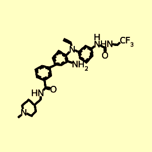 C=CN(c1cccc(NC(=O)NCC(F)(F)F)c1)c1ccc(-c2cccc(C(=O)NCC3CCN(C)CC3)c2)cc1N